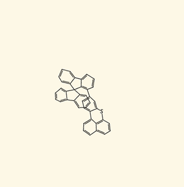 c1ccc2c(c1)-c1ccccc1C21c2ccccc2-c2cccc(-c3ccc4c(c3)Sc3cccc5cccc-4c35)c21